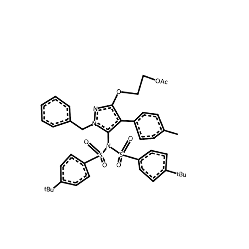 CC(=O)OCCOc1nn(Cc2ccccc2)c(N(S(=O)(=O)c2ccc(C(C)(C)C)cc2)S(=O)(=O)c2ccc(C(C)(C)C)cc2)c1-c1ccc(C)cc1